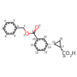 O=C(OCc1ccccc1)c1cccc([C@@H]2C[C@H]2C(=O)O)c1